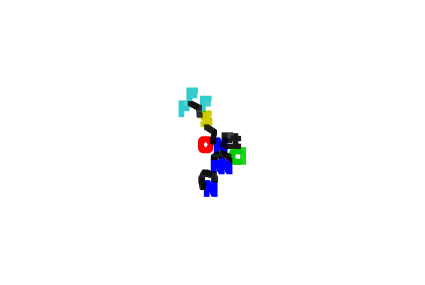 CCN(C(=O)CCSCC(F)C(F)F)c1cn(-c2cccnc2)nc1Cl